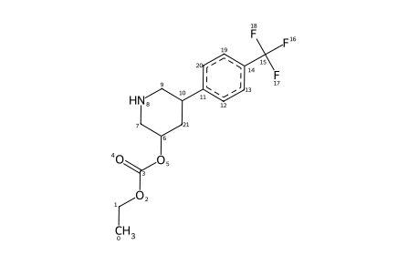 CCOC(=O)OC1CNCC(c2ccc(C(F)(F)F)cc2)C1